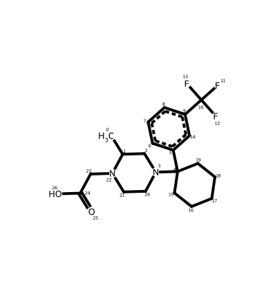 CC1CN(C2(c3cccc(C(F)(F)F)c3)CCCCC2)CCN1CC(=O)O